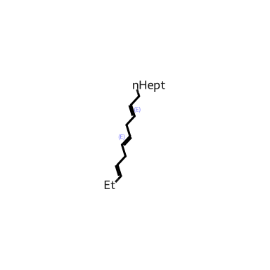 CCC=CC/C=C/C/C=C/CCCCCCCC